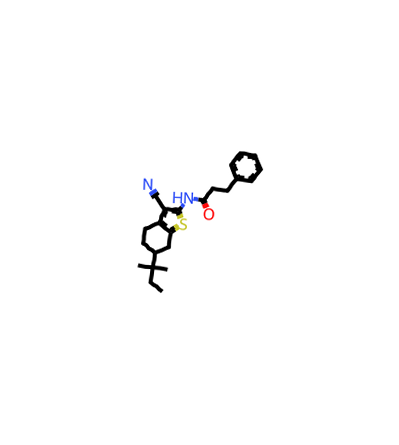 CCC(C)(C)C1CCc2c(sc(NC(=O)CCc3ccccc3)c2C#N)C1